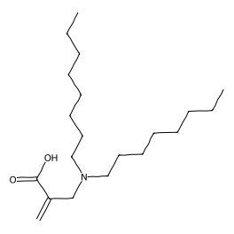 C=C(CN(CCCCCCCC)CCCCCCCC)C(=O)O